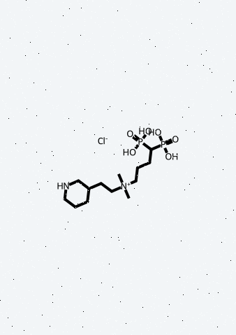 C[N+](C)(CCCC(P(=O)(O)O)P(=O)(O)O)CCC1CCCNC1.[Cl-]